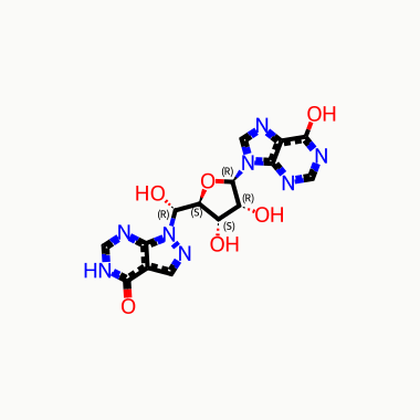 O=c1[nH]cnc2c1cnn2[C@H](O)[C@H]1O[C@@H](n2cnc3c(O)ncnc32)[C@H](O)[C@@H]1O